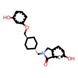 O=C1c2cc(O)ccc2CN1C[C@H]1CC[C@H](COc2cccc(O)c2)CC1